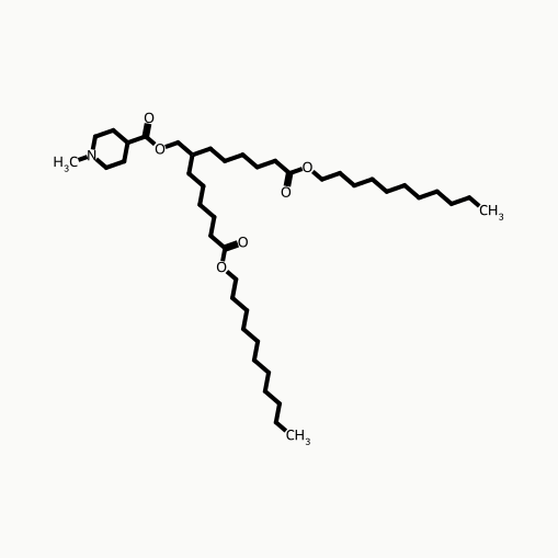 CCCCCCCCCCCOC(=O)CCCCCC(CCCCCC(=O)OCCCCCCCCCCC)COC(=O)C1CCN(C)CC1